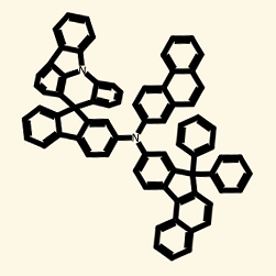 c1ccc(C2(c3ccccc3)c3cc(N(c4ccc5c(c4)C4(c6ccccc6-5)c5ccccc5-n5c6ccccc6c6cccc4c65)c4ccc5c(ccc6ccccc65)c4)ccc3-c3c2ccc2ccccc32)cc1